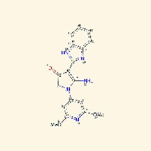 COc1cc(N2CC(=O)C(c3nc4ccccc4[nH]3)=C2N)cc(OC)n1